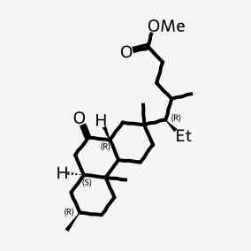 CC[C@H](C(C)CCC(=O)OC)C1(C)CCC2[C@@H](C1)C(=O)C[C@@H]1C[C@H](C)CCC21C